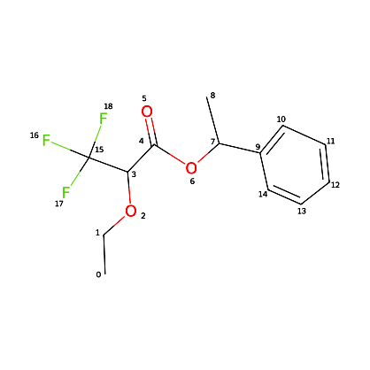 CCOC(C(=O)OC(C)c1ccccc1)C(F)(F)F